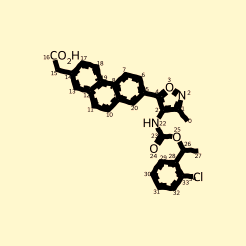 Cc1noc(-c2ccc3c(ccc4cc(CC(=O)O)ccc43)c2)c1NC(=O)OC(C)c1ccccc1Cl